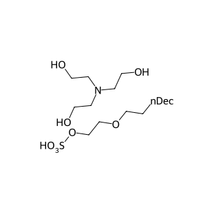 CCCCCCCCCCCCOCCOS(=O)(=O)O.OCCN(CCO)CCO